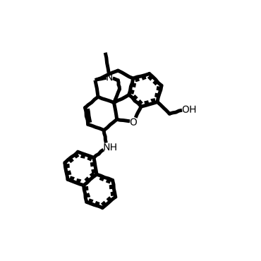 CN1CCC23c4c5ccc(CO)c4OC2C(Nc2cccc4ccccc24)C=CC3C1C5